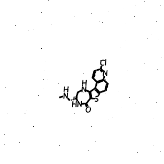 CNC[C@@H]1CNc2c(sc3ccc4nc(Cl)ccc4c23)C(=O)N1